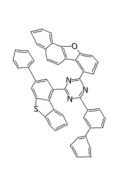 c1ccc(-c2cccc(-c3nc(-c4cccc5oc6c7ccccc7ccc6c45)nc(-c4cc(-c5ccccc5)cc5sc6ccccc6c45)n3)c2)cc1